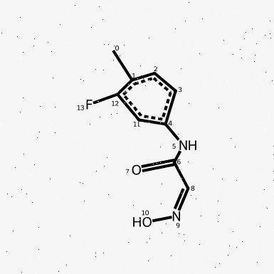 Cc1ccc(NC(=O)/C=N\O)cc1F